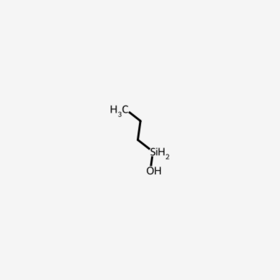 CCC[SiH2]O